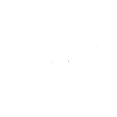 Cc1cc2c(NC(=O)NCc3ccc(C(F)(F)F)cc3)cccc2c(C)n1